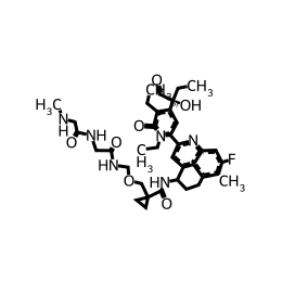 CCc1c([C@](O)(C=O)CC)cc(-c2cc3c4c(c(C)c(F)cc4n2)CCC3NC(=O)C2(COCNC(=O)CNC(=O)CNC)CC2)n(CC)c1=O